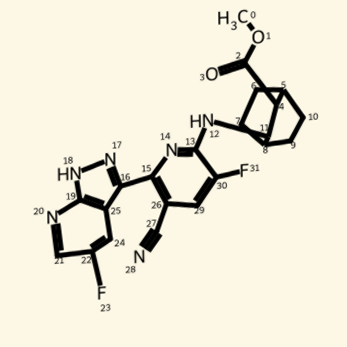 COC(=O)C1C2CCC(CC2)C1Nc1nc(-c2n[nH]c3ncc(F)cc23)c(C#N)cc1F